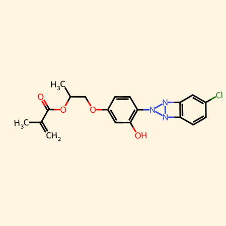 C=C(C)C(=O)OC(C)COc1ccc(-n2n3c4ccc(Cl)cc4n23)c(O)c1